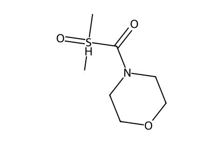 C[SH](C)(=O)C(=O)N1CCOCC1